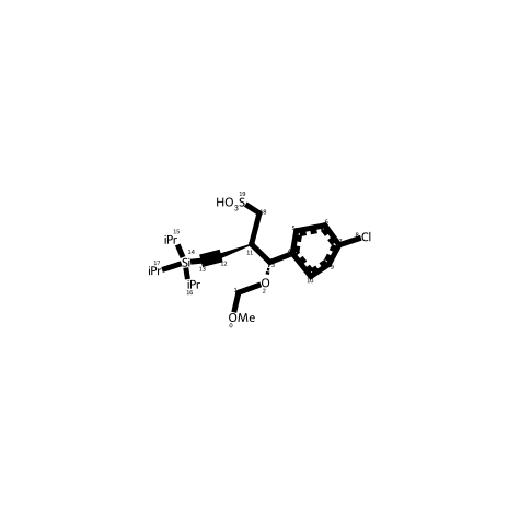 COCO[C@@H](c1ccc(Cl)cc1)[C@@H](C#C[Si](C(C)C)(C(C)C)C(C)C)CS(=O)(=O)O